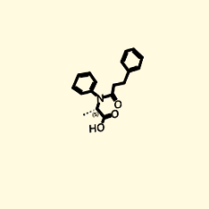 C[C@@H](C(=O)O)N(C(=O)CCc1ccccc1)c1ccccc1